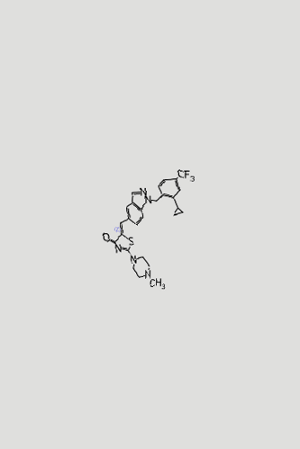 CN1CCN(C2=NC(=O)/C(=C/c3ccc4c(cnn4Cc4ccc(C(F)(F)F)cc4C4CC4)c3)S2)CC1